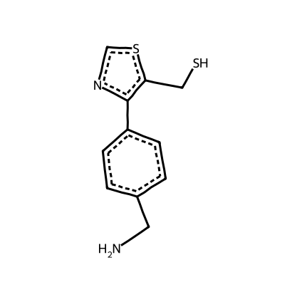 NCc1ccc(-c2ncsc2CS)cc1